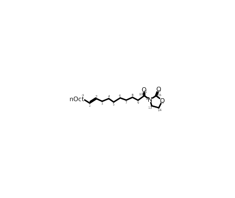 CCCCCCCC/C=C/CCCCCCCC(=O)N1CCOC1=O